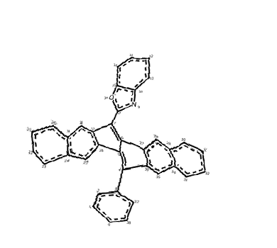 c1ccc(C2=C3C(=C(c4nc5ccccc5o4)c4cc5ccccc5cc43)c3cc4ccccc4cc32)cc1